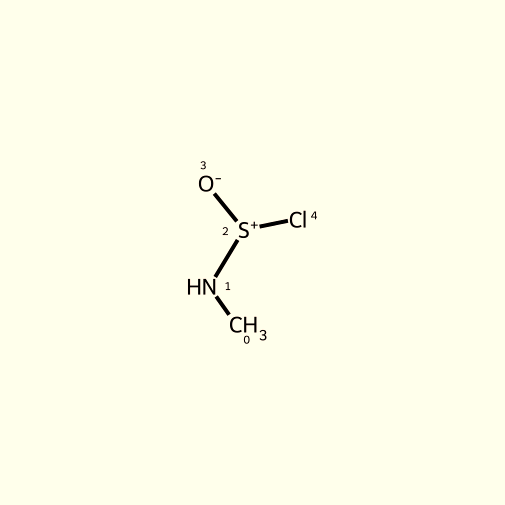 CN[S+]([O-])Cl